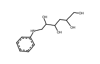 OCC(O)CC(O)C(O)CNc1ccccc1